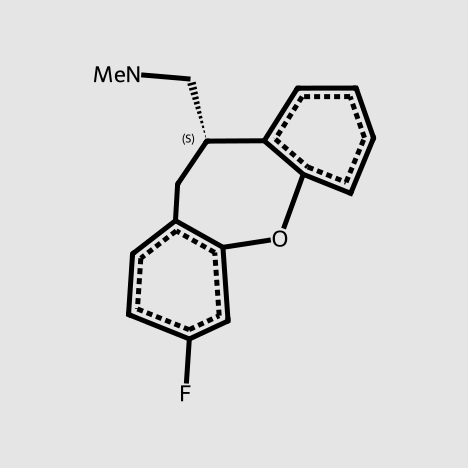 CNC[C@H]1Cc2ccc(F)cc2Oc2ccccc21